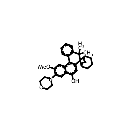 COc1cc2c3c(cc(O)c2cc1N1CCOCC1)C1(C2CCCC1CCC2)C(C)(C)c1ccccc1-3